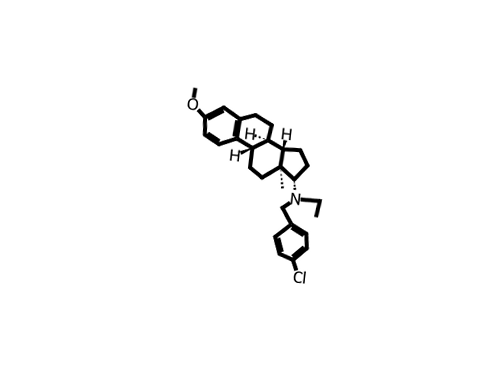 CCN(Cc1ccc(Cl)cc1)[C@H]1CC[C@H]2[C@@H]3CCc4cc(OC)ccc4[C@H]3CC[C@]12C